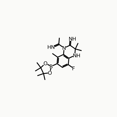 CC(=N)N1C(=N)C(C)(C)Nc2c(F)cc(B3OC(C)(C)C(C)(C)O3)c(C)c21